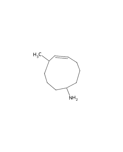 CC1C=CCCCC(N)CCC1